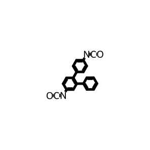 O=C=Nc1ccc(-c2ccc(N=C=O)cc2-c2ccccc2)cc1